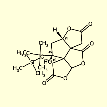 CC(C)(C)[C@]1(O)C[C@@H]2OC(=O)CC23C(=O)OC2OC(=O)[C@H](O[Si](C)(C)C)C231